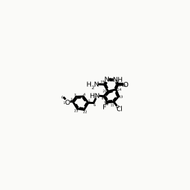 COc1ccc(CNc2c(F)c(Cl)cc3c(=O)[nH]nc(N)c23)cc1